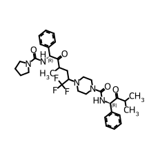 CC(C)C(=O)[C@H](NC(=O)N1CCN(C(CC(C)C(=O)[C@H](NC(=O)N2CCCC2)c2ccccc2)C(F)(F)F)CC1)c1ccccc1